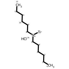 CCCCCC[N]([Ti])CCCCCC.Cl